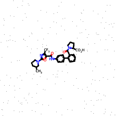 CC1CCCN(c2nc(C(F)(F)F)c(C(=O)Nc3ccc(-c4ccccc4C(=O)N4CCCC4C(=O)O)cc3)o2)C1